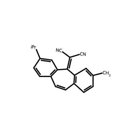 Cc1ccc2c(c1)C(=C(C#N)C#N)c1cc(C(C)C)ccc1C=C2